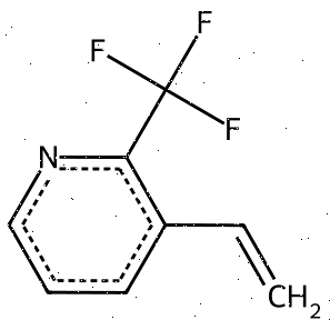 C=Cc1cccnc1C(F)(F)F